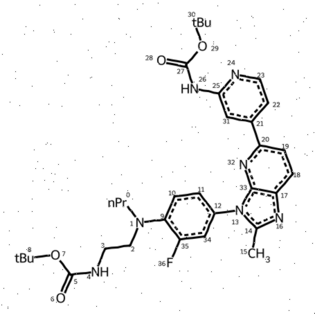 CCCN(CCNC(=O)OC(C)(C)C)c1ccc(-n2c(C)nc3ccc(-c4ccnc(NC(=O)OC(C)(C)C)c4)nc32)cc1F